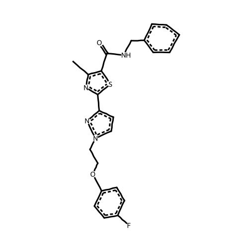 Cc1nc(-c2ccn(CCOc3ccc(F)cc3)n2)sc1C(=O)NCc1ccccc1